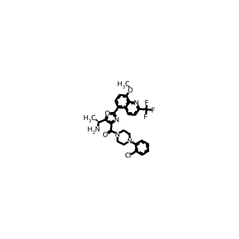 COc1ccc(-c2nc(C(=O)N3CCN(c4ccccc4Cl)CC3)c([C@H](C)N)o2)c2ccc(C(F)(F)F)nc12